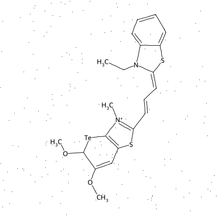 CCN1C(=CC=Cc2sc3c([n+]2C)[Te]C(OC)C(OC)=C3)Sc2ccccc21